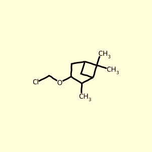 CC1C(OCCl)CC2CC1C2(C)C